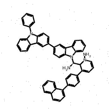 N[C@H](C1C(c2ccc(-c3cccc4ccccc34)cc2)=CC=CN1N)n1c2ccccc2c2cc(-c3ccc4c(c3)c3ccccc3n4-c3ccccc3)ccc21